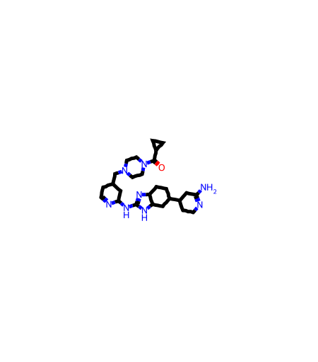 NC1=NCCC(C2CCC3N=C(NC4CC(CN5CCN(C(=O)C6CC6)CC5)CC=N4)NC3C2)C1